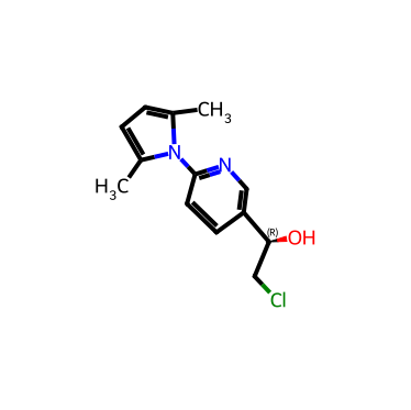 Cc1ccc(C)n1-c1ccc([C@@H](O)CCl)cn1